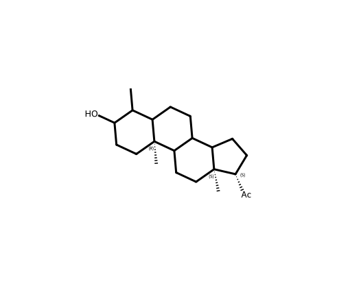 CC(=O)[C@H]1CCC2C3CCC4C(C)C(O)CC[C@]4(C)C3CC[C@@]21C